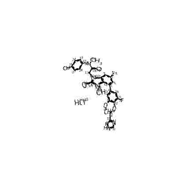 COc1cc(-c2cc(F)cc3c2n(C)c(=O)n3CC(=O)N(C)c2ccc(Cl)cc2)cc(F)c1OCc1nc[nH]n1.Cl